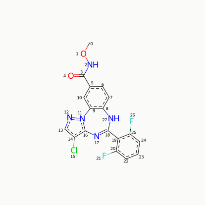 CONC(=O)c1ccc2c(c1)-n1ncc(Cl)c1N=C(c1c(F)cccc1F)N2